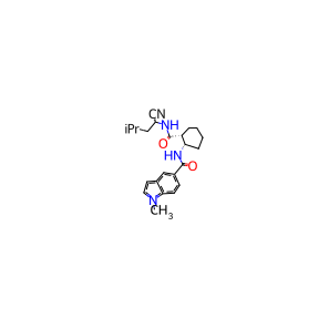 CC(C)C[C@@H](C#N)NC(=O)[C@@H]1CCCC[C@@H]1NC(=O)c1ccc2c(ccn2C)c1